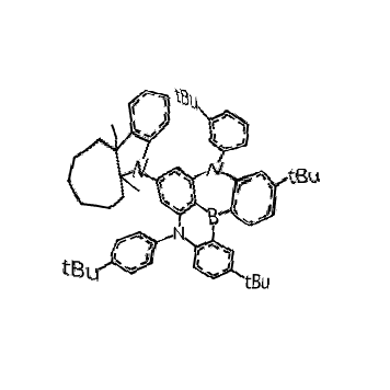 CC(C)(C)c1ccc(N2c3ccc(C(C)(C)C)cc3B3c4ccc(C(C)(C)C)cc4N(c4cccc(C(C)(C)C)c4)c4cc(N5c6ccccc6C6(C)CCCCCCC56C)cc2c43)cc1